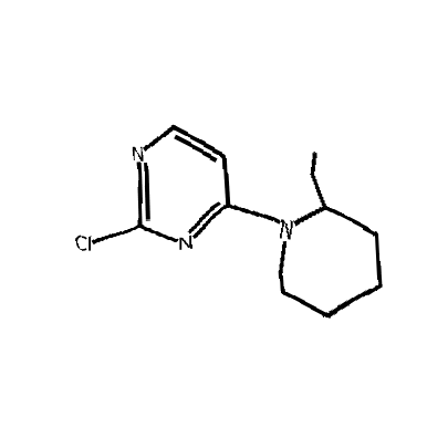 CC1CCCCN1c1ccnc(Cl)n1